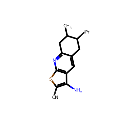 CC(C)C1Cc2cc3c(N)c(C#N)sc3nc2CC1C